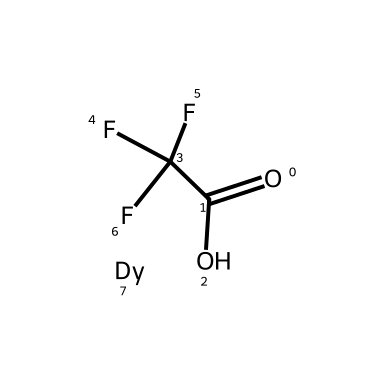 O=C(O)C(F)(F)F.[Dy]